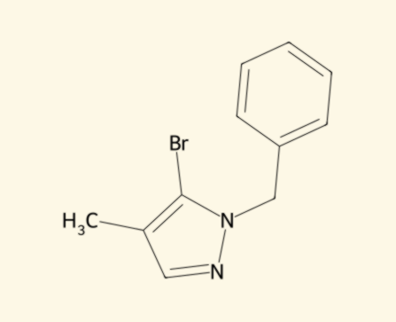 Cc1cnn(Cc2ccccc2)c1Br